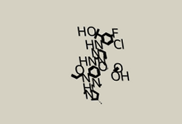 C=CC(=O)Nc1cc(Nc2nccc(Nc3cc(Cl)c(F)cc3C(C)(C)O)n2)c(OC)cc1N(C)C[C@H]1C[C@H](C)CN1C.O=CO